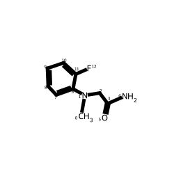 CN(CC(N)=O)c1ccccc1F